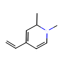 C=CC1=CC(C)N(C)C=C1